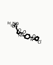 NS(=O)(=O)CCc1ccc(C(=O)NC2CCC(c3nc4cc(Cl)ccc4o3)CC2)o1